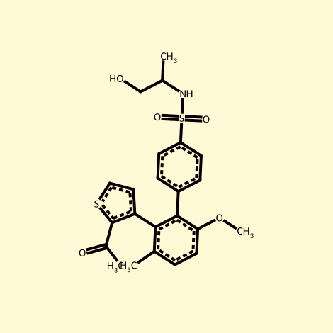 COc1ccc(C)c(-c2ccsc2C(C)=O)c1-c1ccc(S(=O)(=O)NC(C)CO)cc1